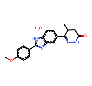 COc1ccc(-c2nc3cc(C4=NNC(=O)CC4C)ccc3[nH]2)cc1.O